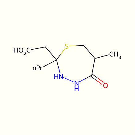 CCCC1(CC(=O)O)NNC(=O)C(C)CS1